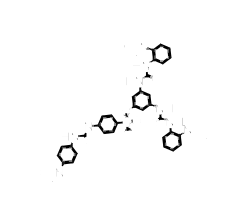 O=C(Nc1ccc([N+](=O)[O-])cc1)Nc1ccc(S(=O)(=O)Oc2cc(NC(=O)Nc3ccccc3[N+](=O)[O-])cc(NC(=O)Nc3ccccc3[N+](=O)[O-])c2)cc1